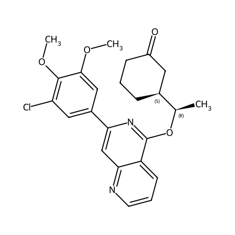 COc1cc(-c2cc3ncccc3c(O[C@H](C)[C@H]3CCCC(=O)C3)n2)cc(Cl)c1OC